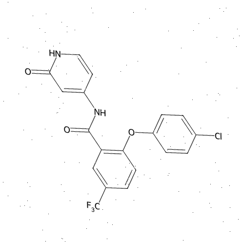 O=C(Nc1cc[nH]c(=O)c1)c1cc(C(F)(F)F)ccc1Oc1ccc(Cl)cc1